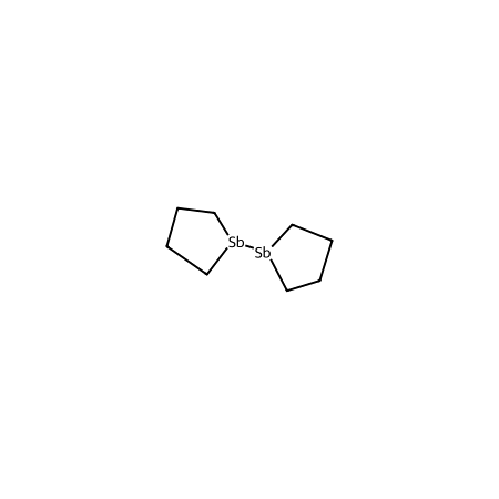 C1C[CH2][Sb]([Sb]2[CH2]CC[CH2]2)[CH2]1